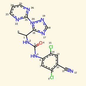 CC(NC(=O)Nc1cc(Cl)c(C#N)cc1Cl)c1ncnn1-c1ncccn1